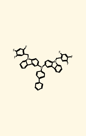 Fc1cc(F)c(Cn2c3ccccc3c3cc(N(c4ccc(-c5ccccc5)cc4)c4ccc5c(c4)c4ccccc4n5Cc4cc(F)c(F)cc4F)ccc32)cc1F